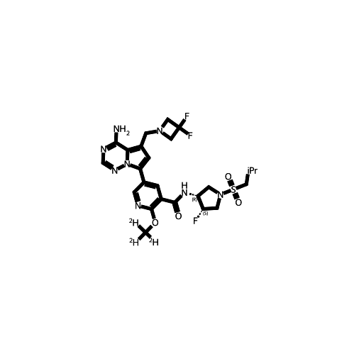 [2H]C([2H])([2H])Oc1ncc(-c2cc(CN3CC(F)(F)C3)c3c(N)ncnn23)cc1C(=O)N[C@@H]1CN(S(=O)(=O)CC(C)C)C[C@@H]1F